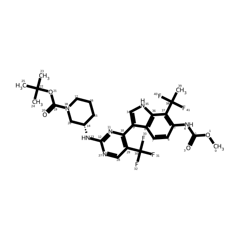 COC(=O)Nc1ccc2c(-c3nc(N[C@H]4CCCN(C(=O)OC(C)(C)C)C4)ncc3C(F)(F)F)c[nH]c2c1C(C)(F)F